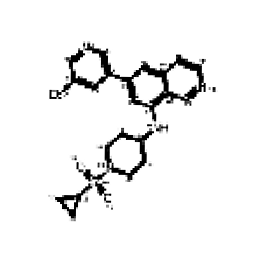 CCc1cncc(-c2cc(NC3CCN(S(=O)(=O)C4CC4)CC3)c3cnccc3c2)c1